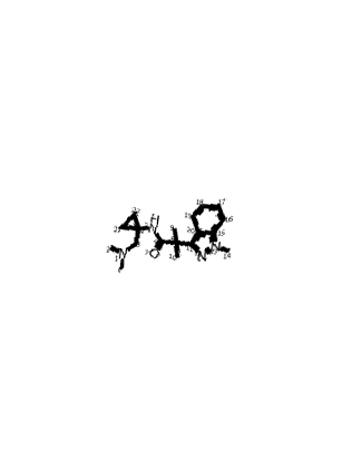 CN(C)CC1(NC(=O)C(C)(C)c2nn(C)c3ccccc23)CC1